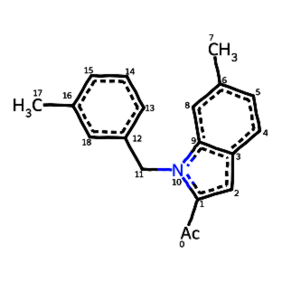 CC(=O)c1cc2ccc(C)cc2n1Cc1cccc(C)c1